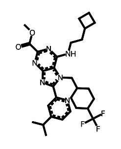 COC(=O)c1nc(NCCC2CCC2)c2c(n1)nc(-c1cc(C(C)C)ccn1)n2CC1CCC(C(F)(F)F)CC1